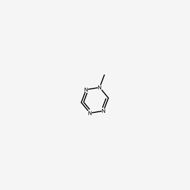 CN1C=NN=C=N1